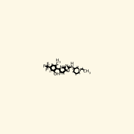 CCN1CCCC(Nc2nc3nc(-c4c(C)cc(C(F)(F)F)cc4O)ccc3o2)C1